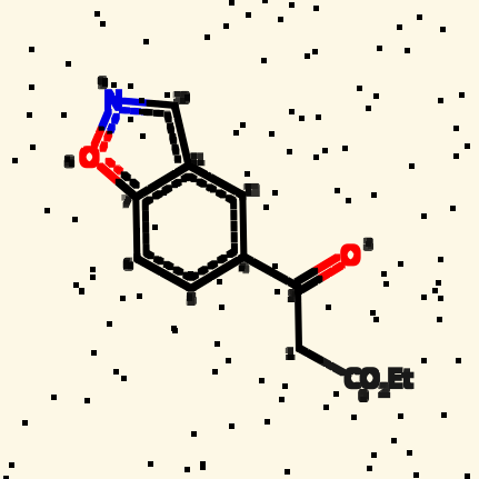 CCOC(=O)CC(=O)c1ccc2oncc2c1